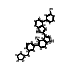 Fc1cccc(-c2nccc3[nH]c(-c4n[nH]c5ccc(-c6cncc(CN7CCCC7)c6)c(F)c45)nc23)c1